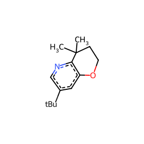 CC(C)(C)c1cnc2c(c1)OCCC2(C)C